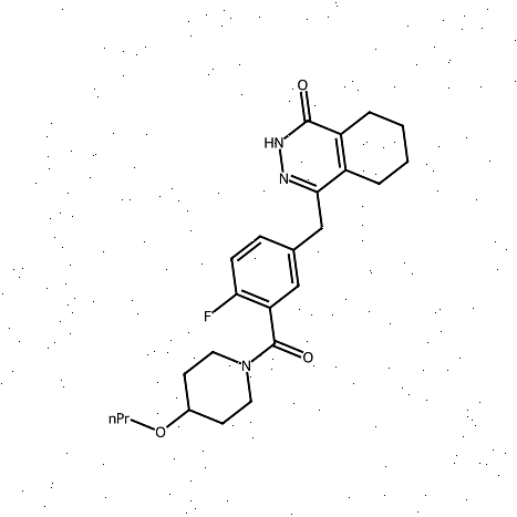 CCCOC1CCN(C(=O)c2cc(Cc3n[nH]c(=O)c4c3CCCC4)ccc2F)CC1